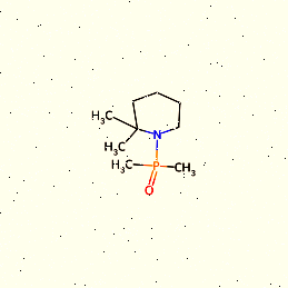 CC1(C)CCCCN1P(C)(C)=O